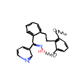 COc1cccc(OC)c1CCc1ccccc1C(=NO)c1cccnc1